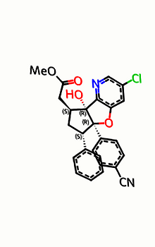 COC(=O)C[C@@H]1C[C@@H](c2ccccc2)[C@]2(c3ccc(C#N)cc3)Oc3cc(Cl)cnc3[C@]12O